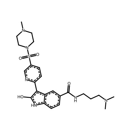 CN(C)CCCNC(=O)c1ccc2[nH]c(O)c(-c3ccc(S(=O)(=O)N4CCN(C)CC4)cn3)c2c1